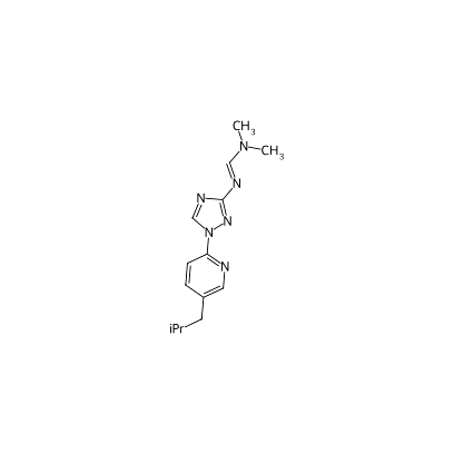 CC(C)Cc1ccc(-n2cnc(/N=C/N(C)C)n2)nc1